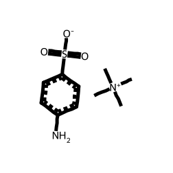 C[N+](C)(C)C.Nc1ccc(S(=O)(=O)[O-])cc1